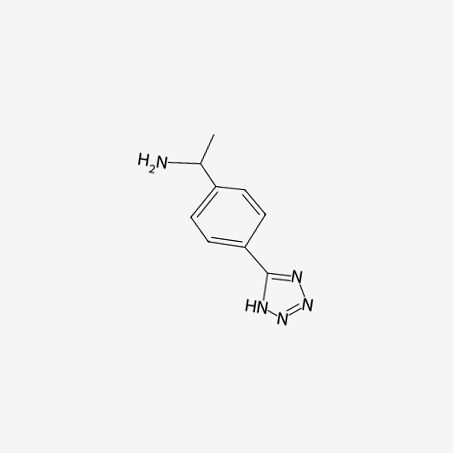 CC(N)c1ccc(-c2nnn[nH]2)cc1